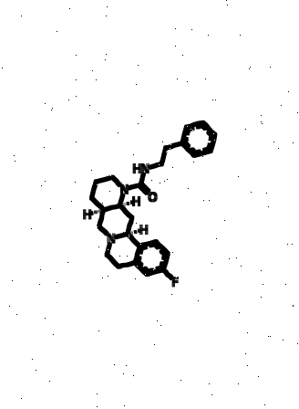 O=C(NCCc1ccccc1)N1CCC[C@@H]2CN3CCc4cc(F)ccc4[C@@H]3C[C@@H]21